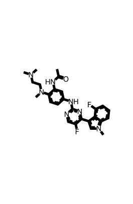 CC(=O)Nc1cc(Nc2ncc(F)c(-c3cn(C)c4cccc(F)c34)n2)ccc1N(C)CCN(C)C